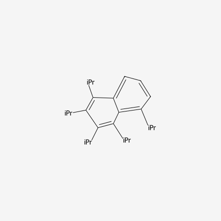 CC(C)c1c(C(C)C)c(C(C)C)c2c(C(C)C)cccc2c1C(C)C